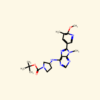 COc1ncc(-c2nc3c(N[C@H]4CCN(C(=O)OC(C)(C)C)C4)ncnc3n2C)cc1C